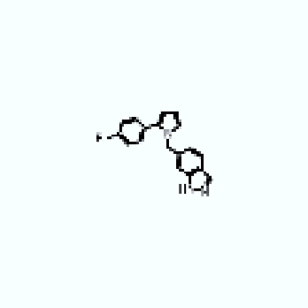 Brc1ccc(-c2cccn2Cc2ccc3cn[nH]c3c2)cc1